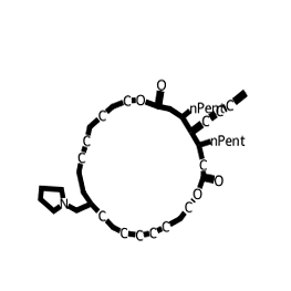 C=C=C=C=C1C(CCCCC)CC(=O)OCCCCCCCCC(CN2CCCC2)CCCCCCCCOC(=O)CC1CCCCC